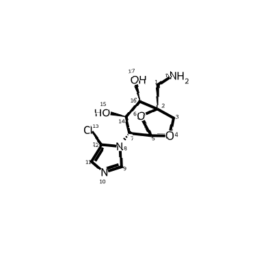 NC[C@@]12COC(O1)[C@H](n1cncc1Cl)[C@@H](O)[C@H]2O